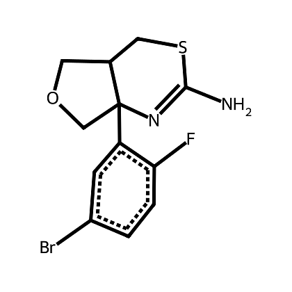 NC1=NC2(c3cc(Br)ccc3F)COCC2CS1